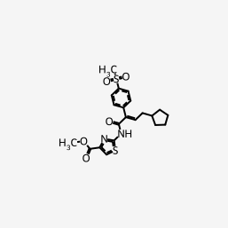 COC(=O)c1csc(NC(=O)/C(=C/CC2CCCC2)c2ccc(S(C)(=O)=O)cc2)n1